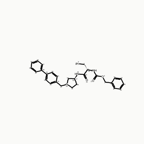 CC(C)C[C@H](NC(=O)OCc1ccccc1)C(=O)N[C@H]1CCN(Cc2ccc(-c3ccccc3)cc2)C1